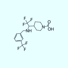 O=C(O)N1CCC(C(NCc2cccc(C(F)(F)F)c2)C(F)(F)F)CC1